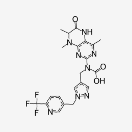 Cc1nc(N(Cc2cnn(Cc3ccc(C(F)(F)F)nc3)c2)C(=O)O)nc2c1NC(=O)C(C)N2C